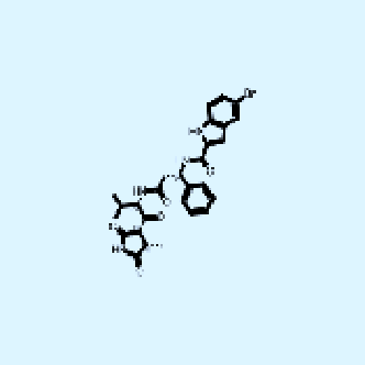 CC(C)[C@H](NC(=O)C[C@H](NC(=O)c1cc2cc(Br)ccc2[nH]1)c1ccccc1)C(=O)[C@@H]1C(=O)NC(=O)[C@H]1C